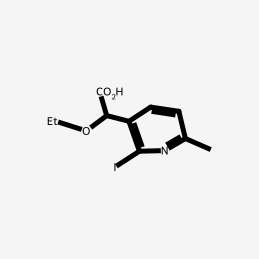 CCOC(C(=O)O)c1ccc(C)nc1I